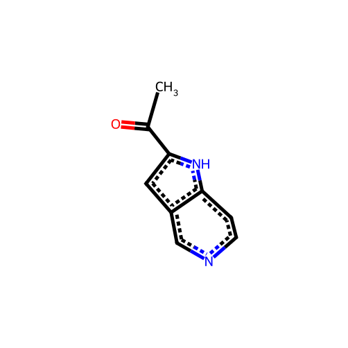 CC(=O)c1cc2cnccc2[nH]1